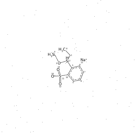 CC[SiH](O[SiH3])c1ccccc1S(=O)(=O)[O-].[Na+]